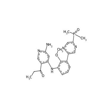 CCC(=O)c1cnc(N)cc1Nc1cccc(-c2cnc(P(C)(C)=O)cn2)c1OC